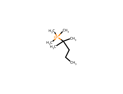 CCCC(C)(C)[PH](C)(C)C